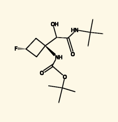 CC(C)(C)NC(=O)C(O)[C@]1(NC(=O)OC(C)(C)C)C[C@H](F)C1